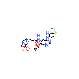 O=C(C=CCN1CCN2CCOC(=O)C2C1)Nc1cc2c(Nc3ccc(F)c(Cl)c3)ncnc2cc1OCC1CC1